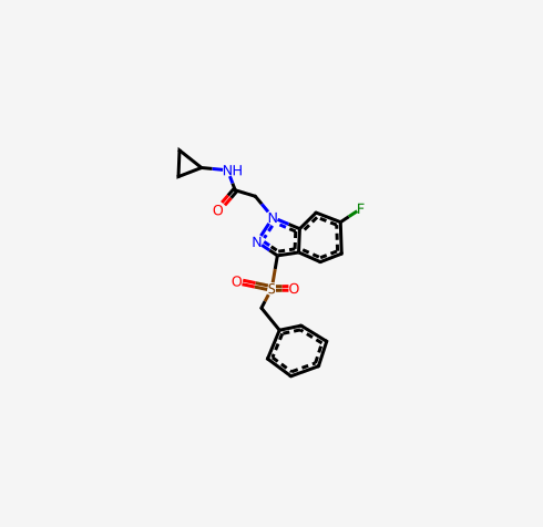 O=C(Cn1nc(S(=O)(=O)Cc2ccccc2)c2ccc(F)cc21)NC1CC1